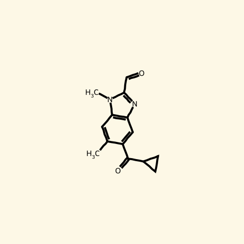 Cc1cc2c(cc1C(=O)C1CC1)nc(C=O)n2C